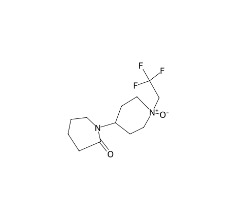 O=C1CCCCN1C1CC[N+]([O-])(CC(F)(F)F)CC1